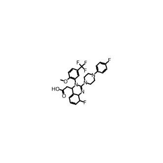 COc1ccc(C(F)(F)F)cc1N1C(N2CCN(c3ccc(F)cc3)CC2)=NC2C(=CC=CC2F)C1CC(=O)O